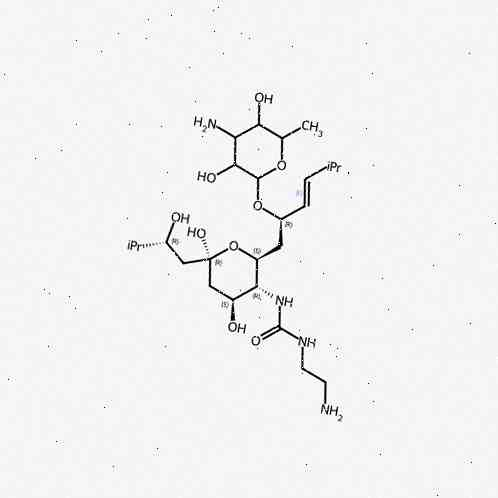 CC(C)/C=C/[C@@H](C[C@@H]1O[C@](O)(C[C@@H](O)C(C)C)C[C@H](O)[C@H]1NC(=O)NCCN)OC1OC(C)C(O)C(N)C1O